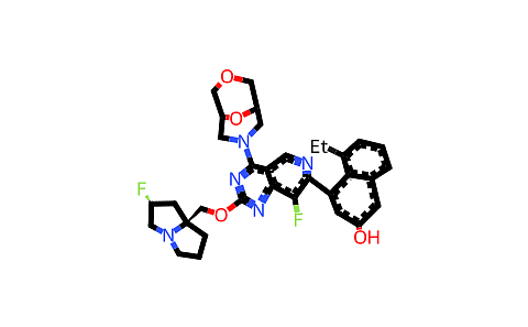 CCc1cccc2cc(O)cc(-c3ncc4c(N5CC6COCC(C5)O6)nc(OC[C@@]56CCCN5C[C@H](F)C6)nc4c3F)c12